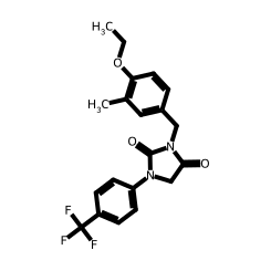 CCOc1ccc(CN2C(=O)CN(c3ccc(C(F)(F)F)cc3)C2=O)cc1C